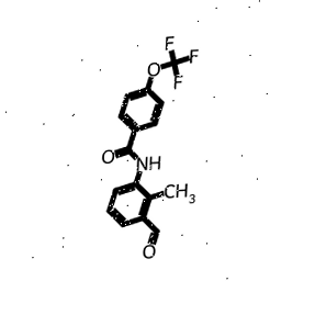 Cc1c(C=O)cccc1NC(=O)c1ccc(OC(F)(F)F)cc1